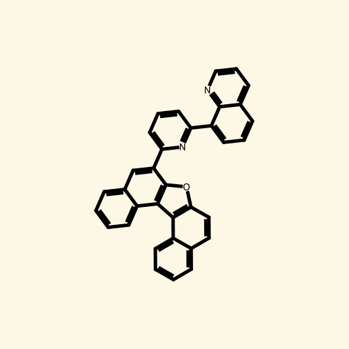 c1cc(-c2cccc3cccnc23)nc(-c2cc3ccccc3c3c2oc2ccc4ccccc4c23)c1